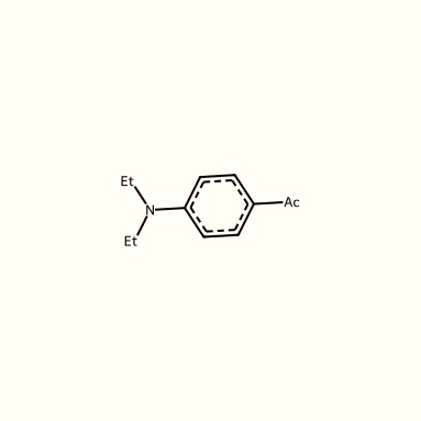 CCN(CC)c1ccc(C(C)=O)cc1